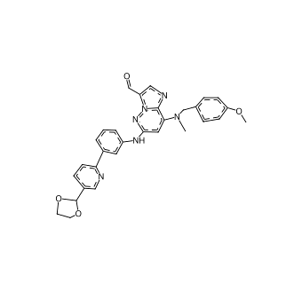 COc1ccc(CN(C)c2cc(Nc3cccc(-c4ccc(C5OCCO5)cn4)c3)nn3c(C=O)cnc23)cc1